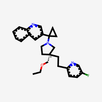 CCOC[C@]1(CCc2ccc(F)cn2)CCN(C2(c3cnc4ccccc4c3)CC2)C1